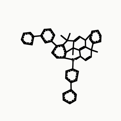 CC1C=C2C(C)(C)c3c(-c4cccc(-c5ccccc5)c4)ccc4c3C2(C)C2=C1C(C)(c1ccccc1)C=CC2(C)N4c1ccc(-c2ccccc2)cc1